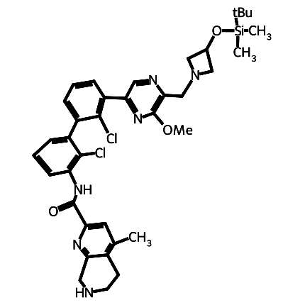 COc1nc(-c2cccc(-c3cccc(NC(=O)c4cc(C)c5c(n4)CNCC5)c3Cl)c2Cl)cnc1CN1CC(O[Si](C)(C)C(C)(C)C)C1